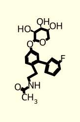 CC(=O)NCCc1ccc(OC2OC[C@@H](O)[C@@H](O)[C@@H]2O)cc1-c1cccc(F)c1